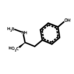 BN[C@@H](Cc1ccc(O)cc1)C(=O)O